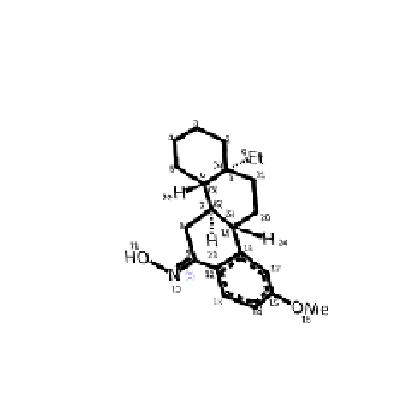 CC[C@@]12CCCC[C@H]1[C@@H]1C/C(=N\O)c3c[c]c(OC)cc3[C@H]1CC2